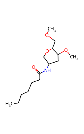 CCCCCCC(=O)NC1COC(COC)C(OC)C1